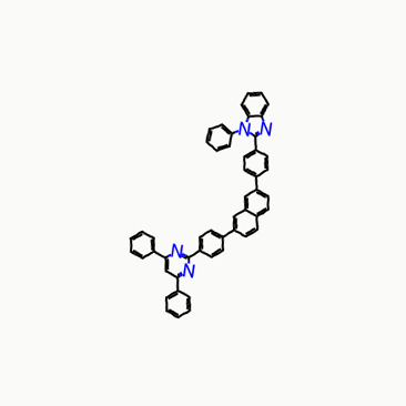 c1ccc(-c2cc(-c3ccccc3)nc(-c3ccc(-c4ccc5ccc(-c6ccc(-c7nc8ccccc8n7-c7ccccc7)cc6)cc5c4)cc3)n2)cc1